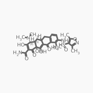 Cc1noc(C)c1[SH](C)(=O)Nc1ccc2c(c1O)C(=O)C1=C(O)[C@]3(O)C(=O)C(C(N)=O)=C(O)[C@H](N(C)C)[C@@H]3C[C@@H]1C2